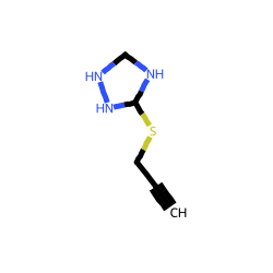 C#CCSC1NCNN1